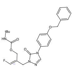 CC(C)(C)NC(=O)OC/C(=C\F)Cn1ncn(-c2ccc(OCc3ccccc3)cc2)c1=O